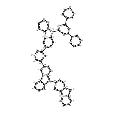 c1ccc(-c2cc(-c3ccccc3)nc(-n3c4ccccc4c4cc(-c5cncc(-c6ccc7c(c6)c6ccccc6n7-c6ccc7oc8cccnc8c7c6)n5)ccc43)c2)cc1